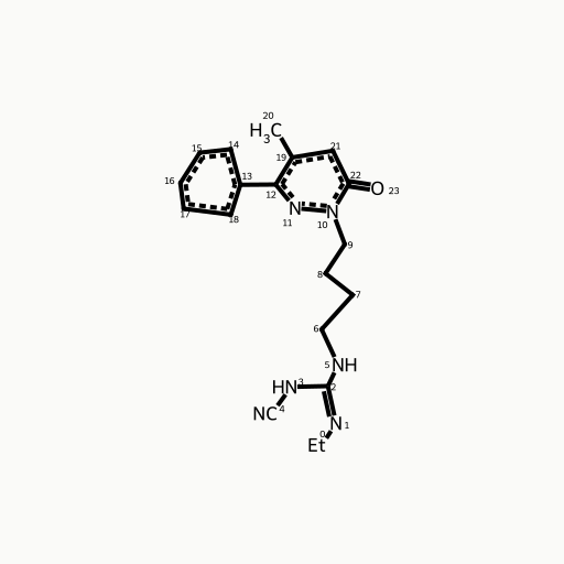 CCN=C(NC#N)NCCCCn1nc(-c2ccccc2)c(C)cc1=O